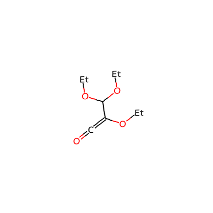 CCOC(=C=O)C(OCC)OCC